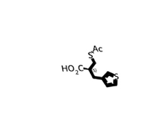 CC(=O)SC[C@@H](Cc1ccsc1)C(=O)O